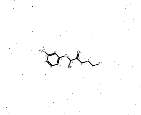 O=C(CCCF)C(Br)Oc1cccc(C(F)(F)F)c1